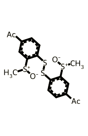 CC(=O)c1ccc(SSc2ccc(C(C)=O)cc2[S+](C)[O-])c([S+](C)[O-])c1